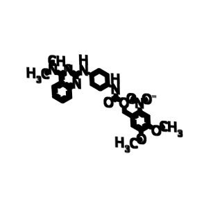 COc1cc(COC(=O)N[C@H]2CC[C@@H](Nc3nc(N(C)C)c4ccccc4n3)CC2)c([N+](=O)[O-])cc1OC